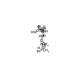 CC(C)CCC[C@@H](C)C1CCC2[C@@H]3CC=C4C[C@@H](OCCCNC(=O)CCC(=O)N[C@@H](Cc5ccccc5)C(=O)N[C@@H](Cc5ccccc5)C(=O)Nc5ccc(CO)cc5)CC[C@]4(C)[C@H]3CC[C@]12C